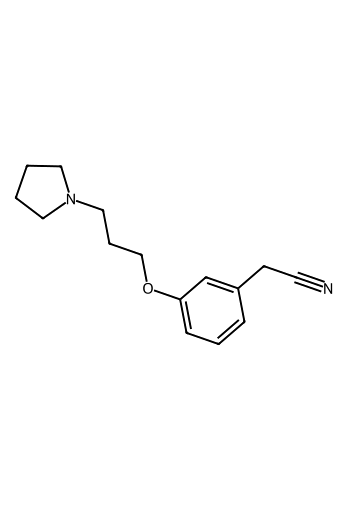 N#CCc1cccc(OCCCN2CCCC2)c1